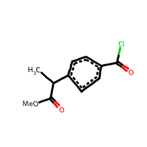 COC(=O)C(C)c1ccc(C(=O)Cl)cc1